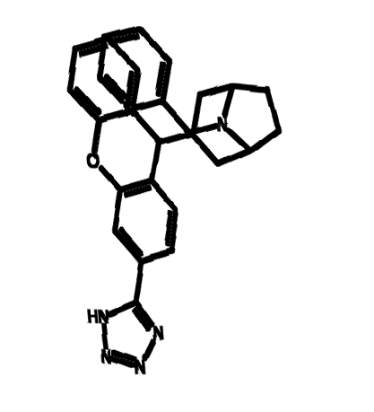 c1ccc(CN2C3CCC2CC(C2c4ccccc4Oc4cc(-c5nnn[nH]5)ccc42)C3)nc1